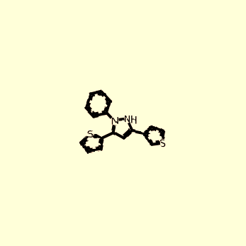 C1=C(c2ccsc2)NN(c2ccccc2)C1c1cccs1